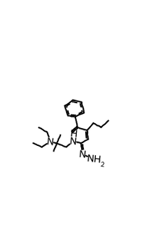 C=C(/C(=C\C(=N/N)NCC(C)(C)N(CC)CC)CCC)c1ccccc1